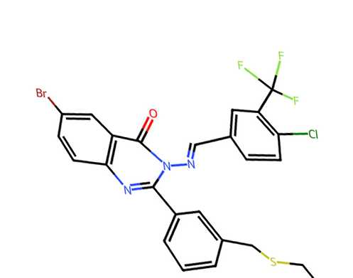 O=c1c2cc(Br)ccc2nc(-c2cccc(CSCCO)c2)n1N=Cc1ccc(Cl)c(C(F)(F)F)c1